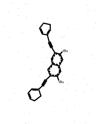 CC(C)(C)c1cc2cc(C(C)(C)C)c(C#CC3=CC=CCC3)cc2cc1C#CC1=CCCC=C1